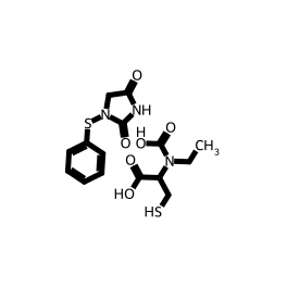 CCN(C(=O)O)C(CS)C(=O)O.O=C1CN(Sc2ccccc2)C(=O)N1